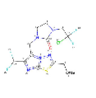 COCc1nn2c(CN3CCN(CC(F)(F)Cl)C3=O)c(C(F)F)nc2s1